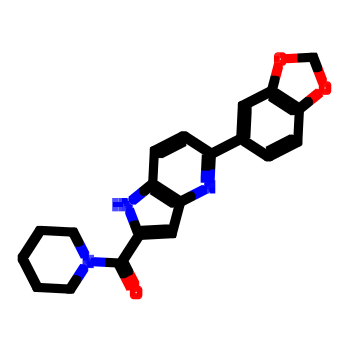 O=C(c1cc2nc(-c3ccc4c(c3)OCO4)ccc2[nH]1)N1CCCCC1